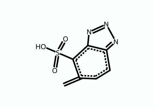 C=c1ccc2c(c1S(=O)(=O)O)N=NN=2